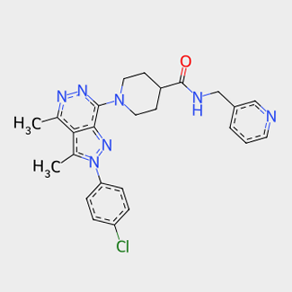 Cc1nnc(N2CCC(C(=O)NCc3cccnc3)CC2)c2nn(-c3ccc(Cl)cc3)c(C)c12